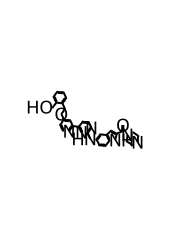 CN1CCN(C(=O)c2cc3cc(Nc4nccc(-c5cc(OCc6ccccc6CO)ccn5)n4)ccc3[nH]2)CC1